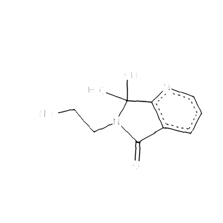 CCCN1C(=O)c2cccnc2C1(C)C